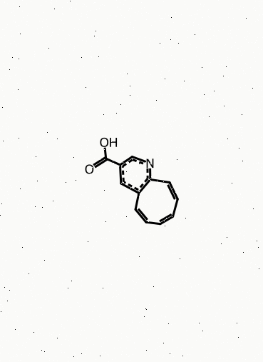 O=C(O)c1cnc2c(c1)C=CC=CC=C2